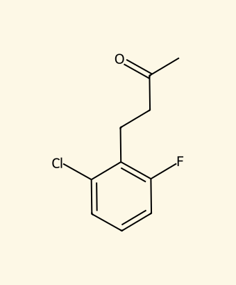 CC(=O)CCc1c(F)cccc1Cl